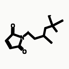 [CH2]C(C)(C)CC(C)C[CH]N1C(=O)C=CC1=O